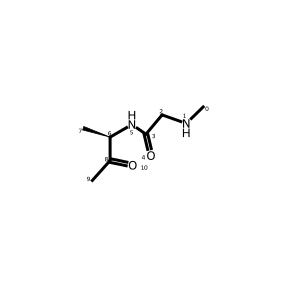 CNCC(=O)N[C@H](C)C(C)=O